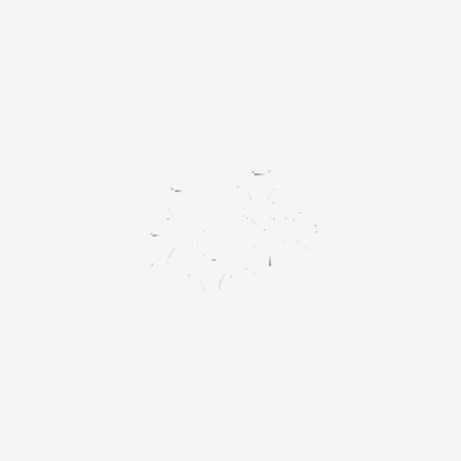 Cc1ccc2c(oc3c(-c4cc5ccccc5c5ccccc45)cccc32)c1-c1n(-c2ccccc2)c2ccccc2[n+]1C